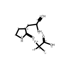 C#CC(N)C[C@@H]1CCNC1=O.O=C(O)C(F)(F)F